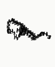 CCCCC/C=C\C/C=C\CCCCCCCCC(CCCCCCCC/C=C\C/C=C\CCCCC)NC(=O)CN(C)C